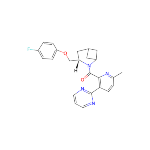 Cc1ccc(-c2ncccn2)c(C(=O)N2C3CC(C3)C[C@H]2COc2ccc(F)cc2)n1